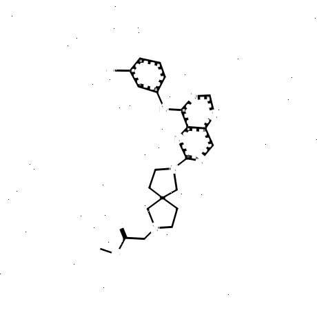 COC(=O)CN1CCC2(CCN(c3ncc4ncnc(Nc5cccc(Cl)c5)c4n3)C2)C1